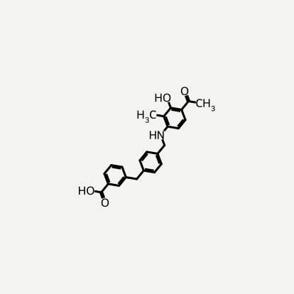 CC(=O)c1ccc(NCc2ccc(Cc3cccc(C(=O)O)c3)cc2)c(C)c1O